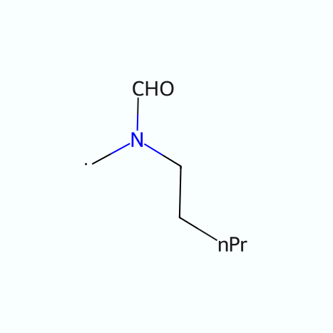 [CH2]N(C=O)CCCCC